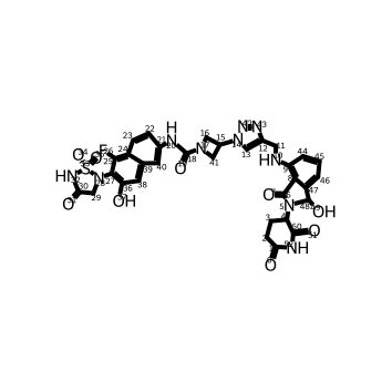 O=C1CCC(N2C(=O)c3c(NCc4cn(C5CN(C(=O)Nc6ccc7c(F)c(N8CC(=O)NS8(=O)=O)c(O)cc7c6)C5)nn4)cccc3C2O)C(=O)N1